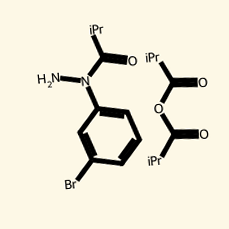 CC(C)C(=O)N(N)c1cccc(Br)c1.CC(C)C(=O)OC(=O)C(C)C